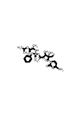 CC(C)OC(=O)[C@H](C)N[P@@](=O)(Oc1ccccc1)O[C@H](C)[C@H]1O[C@@H](n2ccc(N)nc2=O)[C@@](O)(CF)C1O